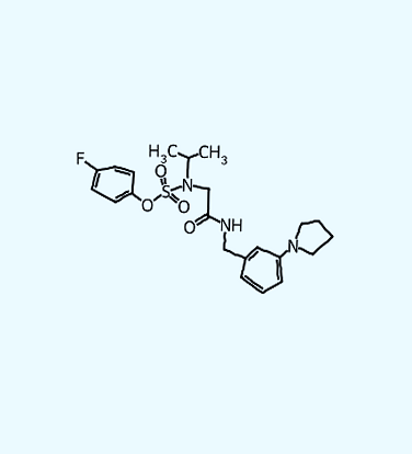 CC(C)N(CC(=O)NCc1cccc(N2CCCC2)c1)S(=O)(=O)Oc1ccc(F)cc1